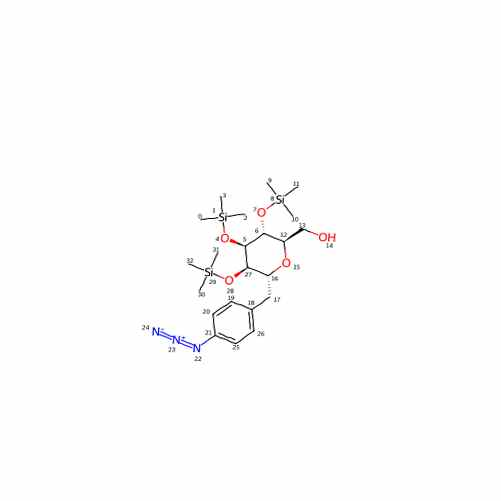 C[Si](C)(C)O[C@H]1[C@H](O[Si](C)(C)C)[C@@H](CO)O[C@H](Cc2ccc(N=[N+]=[N-])cc2)[C@H]1O[Si](C)(C)C